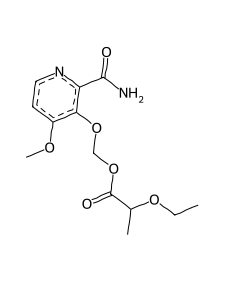 CCOC(C)C(=O)OCOc1c(OC)ccnc1C(N)=O